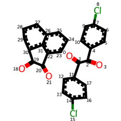 O=C(C(=O)c1ccc(Cl)cc1)c1ccc(Cl)cc1.O=C1C(=O)c2cccc3cccc1c23